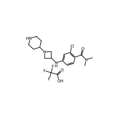 CN(C)C(=O)c1ccc(NC2CN(C3CCNCC3)C2)cc1Cl.O=C(O)C(F)(F)F